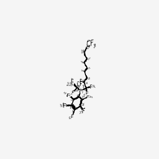 Fc1c(F)c(F)c(P(C(F)(F)C(F)CCCCCCC(F)(F)F)C(F)(F)C(F)(F)F)c(F)c1F